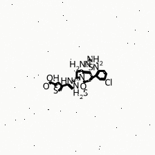 CN(SN(N)N)c1ccc(Cl)cc1-c1cc2n(c(=O)c1)[C@H](c1ncc(-c3csc(C(=O)O)c3)[nH]1)CC2.S